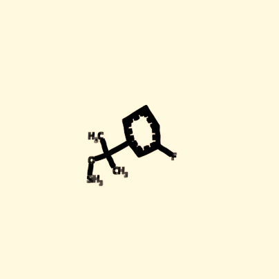 CC(C)(O[SiH3])c1cccc(F)c1